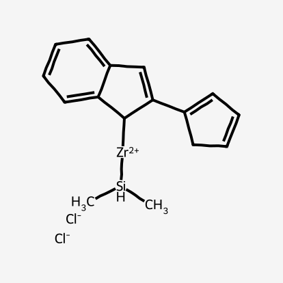 C[SiH](C)[Zr+2][CH]1C(C2=CC=CC2)=Cc2ccccc21.[Cl-].[Cl-]